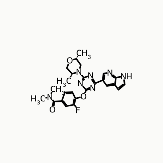 C[C@@H]1CN(c2nc(Oc3ccc(C(=O)N(C)C)cc3F)nc(-c3cnc4[nH]ccc4c3)n2)[C@@H](C)CO1